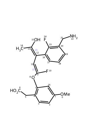 COc1ccc(CC(=O)O)c(O/C(F)=C/C(=C(\C)O)c2cccc(CN)c2F)c1